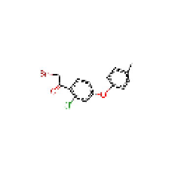 Cc1ccc(Oc2ccc(C(=O)CBr)c(Cl)c2)cc1